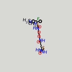 CN(C)c1ccc2cc(-c3ccccc3F)c(SCC(=O)NCCOCCOCCNC(=O)CCCCC3SCC4NC(=O)NC43)nc2c1